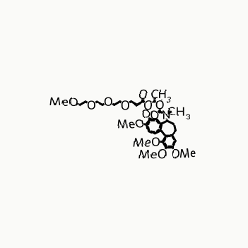 COCCOCCOCCOCCC(=O)OC(C)OC(=O)N(C)[C@H]1CCc2cc(OC)c(OC)c(OC)c2-c2ccc(OC)c(=O)cc21